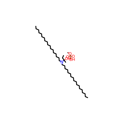 CCCCCCCCCCCCCCCCCCN(CCCCCCCCCCCCCCCCCC)C(C)(O)CC.COS(=O)(=O)O